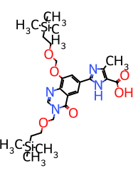 Cc1nc(-c2cc(OCOCC[Si](C)(C)C)c3ncn(COCC[Si](C)(C)C)c(=O)c3c2)[nH]c1C(=O)O